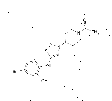 CC(=O)N1CCC(N2C=C(Nc3ncc(Br)cc3O)SN2)CC1